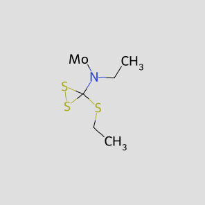 CCSC1([N]([Mo])CC)SS1